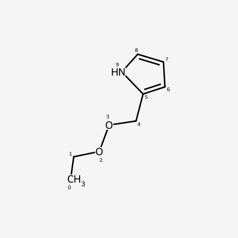 CCOOCc1ccc[nH]1